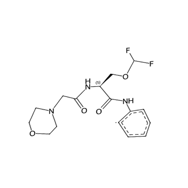 O=C(CN1CCOCC1)N[C@@H](COC(F)F)C(=O)Nc1[c]cccc1